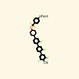 CCCCCc1ccc(C(F)(F)OC2CCC(c3ccc(-c4ccc(-c5cc(F)c(C#N)c(F)c5)c(F)c4)c(F)c3)CC2)cc1